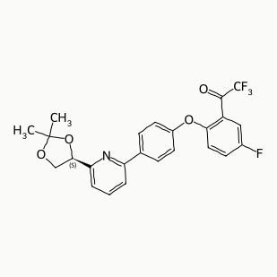 CC1(C)OC[C@H](c2cccc(-c3ccc(Oc4ccc(F)cc4C(=O)C(F)(F)F)cc3)n2)O1